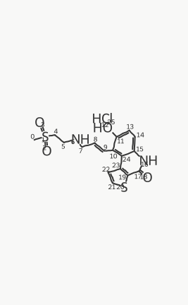 CS(=O)(=O)CCNC/C=C/c1c(O)ccc2[nH]c(=O)c3sccc3c12.Cl